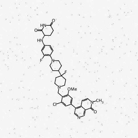 COc1cc(-c2cncc3c(=O)n(C)ccc23)cc(Cl)c1CN1CCC(F)(C2CCN(c3ccc(NC4CCC(=O)NC4=O)cc3F)CC2)CC1